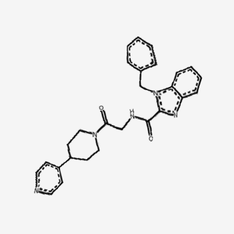 O=C(NCC(=O)N1CCC(c2ccncc2)CC1)c1nc2ccccc2n1Cc1ccccc1